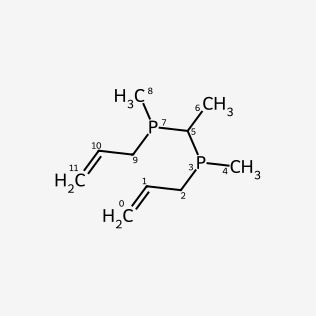 C=CCP(C)C(C)P(C)CC=C